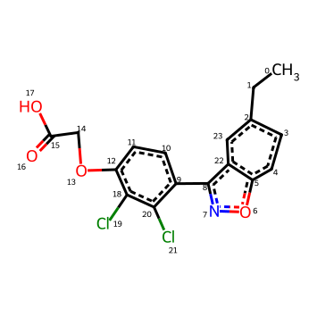 CCc1ccc2onc(-c3ccc(OCC(=O)O)c(Cl)c3Cl)c2c1